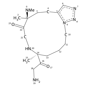 CN[C@@]1(C)CCc2cnnn2CCCC[C@@](C)(C(=O)CN)NCC1=O